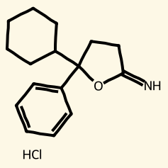 Cl.N=C1CCC(c2ccccc2)(C2CCCCC2)O1